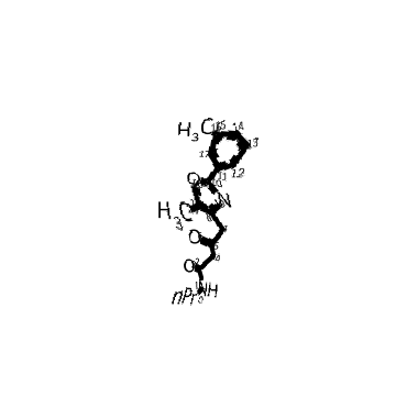 CCCNC(=O)CC(=O)Cc1nc(-c2cccc(C)c2)oc1C